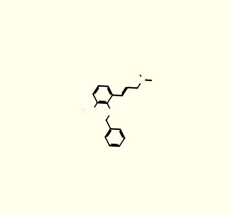 COc1cccc(/C=C/C[S+](C)[O-])c1OCc1ccccc1